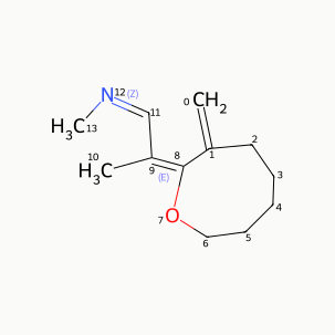 C=C1CCCCCO/C1=C(C)/C=N\C